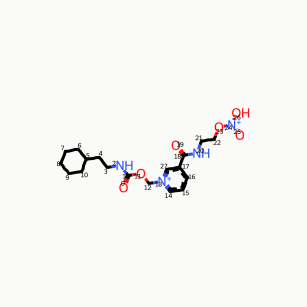 O=C(NCCC1CCCCC1)OC[n+]1cccc(C(=O)NCCO[N+](=O)O)c1